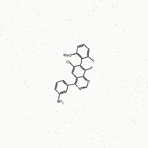 COc1cccc(F)c1-c1c(Cl)cc2c(-c3cccc(N)c3)ncnc2c1F